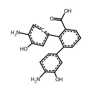 Nc1ccc(-c2cccc(C(=O)O)c2-c2ccc(N)c(O)c2)cc1O